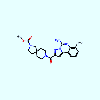 COc1cccc2c1nc(N)n1nc(C(=O)N3CCC4(CCN(C(=O)OC(C)(C)C)C4)CC3)cc21